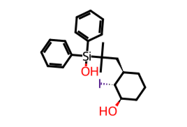 CC(C)(C[C@H]1CCC[C@@H](O)[C@@H]1I)[Si](O)(c1ccccc1)c1ccccc1